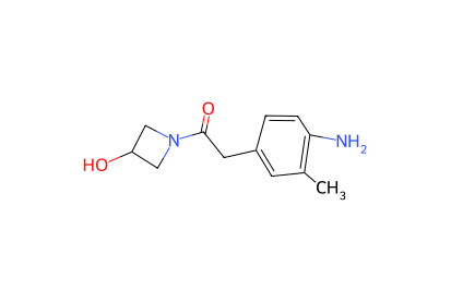 Cc1cc(CC(=O)N2CC(O)C2)ccc1N